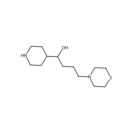 OC(CCCN1CCSCC1)C1CCNCC1